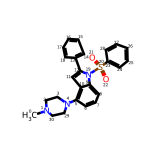 CN1CCN(c2cccc3c2cc(-c2ccccc2)n3S(=O)(=O)c2ccccc2)CC1